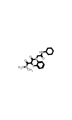 CN(C)C(=O)C1Sc2ccccc2N(CC(=O)NC2CCCCC2)C1=O